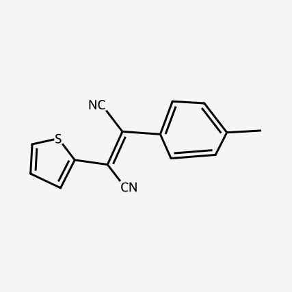 Cc1ccc(/C(C#N)=C(\C#N)c2cccs2)cc1